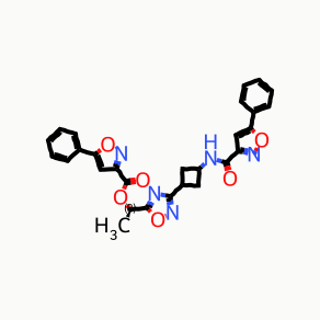 C[C@@H](OC(=O)c1cc(-c2ccccc2)on1)c1nc(C2CC(NC(=O)c3cc(-c4ccccc4)on3)C2)no1